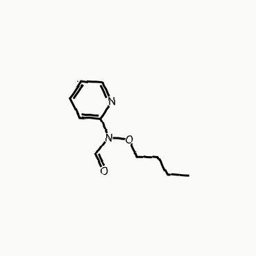 CCCCON(C=O)c1cc[c]cn1